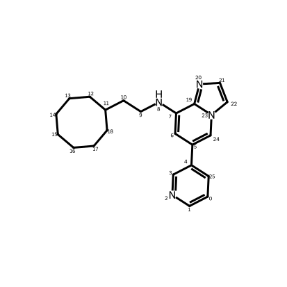 c1cncc(-c2cc(NCCC3CCCCCCC3)c3nccn3c2)c1